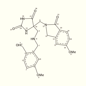 COc1ccc(C=O)c(CNCC2(CN3Cc4cc(OC)ccc4C3=O)NC(=O)NC2=O)c1